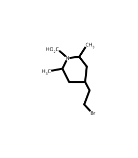 CC1CC(CCBr)CC(C)N1C(=O)O